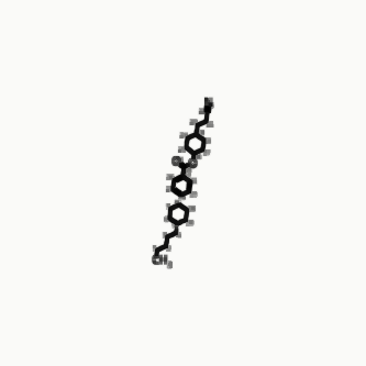 CCCCC[C@H]1CC[C@H](c2ccc(C(=O)OC3CCC(CCC#N)CC3)cc2)CC1